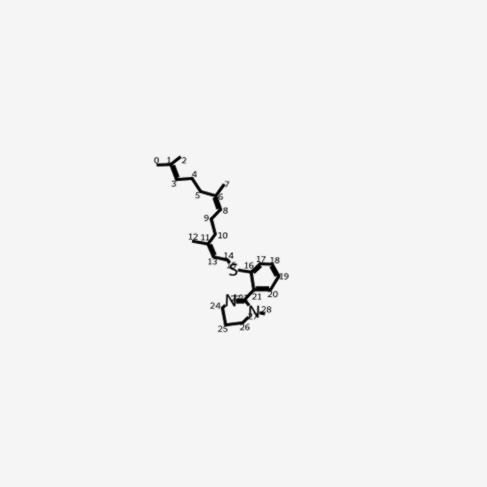 CC(C)=CCCC(C)=CCCC(C)=CCSc1ccccc1C1=NCCCN1C